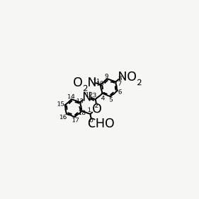 O=CC1OC(c2ccc([N+](=O)[O-])cc2[N+](=O)[O-])=Nc2ccccc21